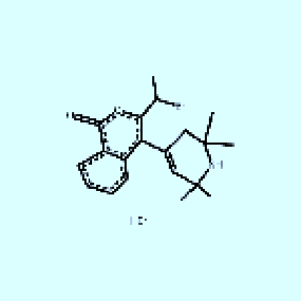 Br.CC(Br)c1oc(=O)c2ccccc2c1C1=CC(C)(C)NC(C)(C)C1